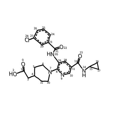 O=C(O)CC1CCN(c2ncc(C(=O)NC3CC3)cc2NC(=O)c2cccc(Cl)c2)CC1